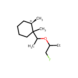 CCC(CF)OC(C)C1(C)CCCC[C@H]1C